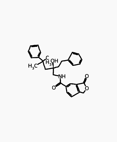 CC(C)(C[C@](O)(CCc1ccccc1)CNC(=O)c1ccc2c(c1)C(=O)OC2)c1ccccc1